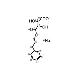 O=C([O-])[C@H](O)[C@@H](O)C(=O)OCCCc1ccccc1.[Na+]